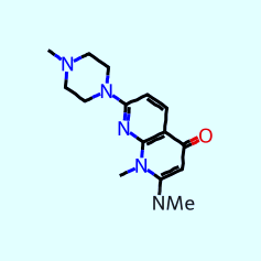 CNc1cc(=O)c2ccc(N3CCN(C)CC3)nc2n1C